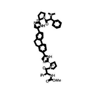 COC(=O)NC(C(=O)N1CCC[C@H]1c1ncc(-c2ccc3c(c2)CCc2cc(-c4cnc([C@@H]5CCCN5C(=O)C(c5ccccc5)N(C)C)[nH]4)ccc2-3)[nH]1)C(C)C